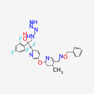 CC1CC(Oc2ccc(C(F)(F)C(O)(CN/C=N\N=N)c3ccc(F)cc3F)nc2)=NC=C1/C=N/OCc1ccccc1